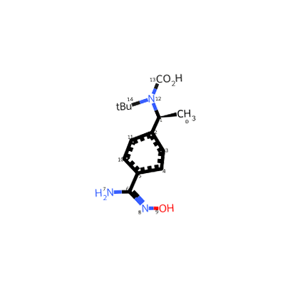 C[C@@H](c1ccc(/C(N)=N\O)cc1)N(C(=O)O)C(C)(C)C